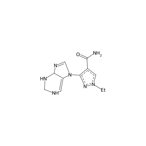 CCn1cc(C(N)=O)c(N2C=NC3NCNC=C32)n1